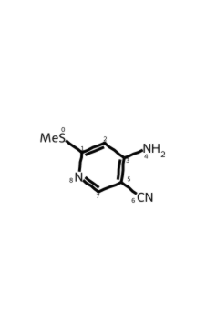 CSc1cc(N)c(C#N)cn1